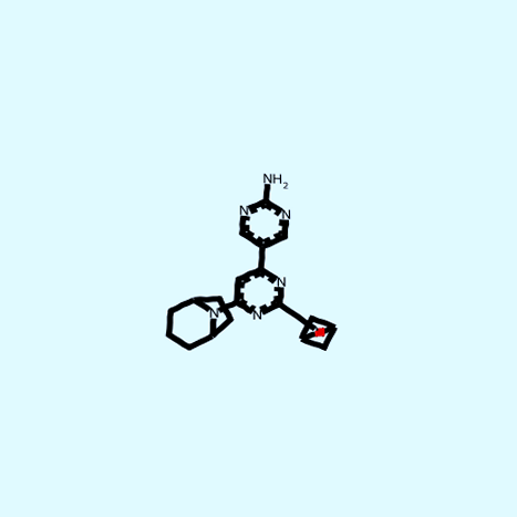 Nc1ncc(-c2cc(N3C4CCCC3CC4)nc(N3CC4CC3C4)n2)cn1